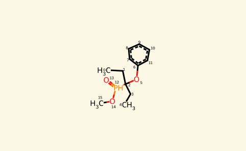 CCC(CC)(Oc1ccccc1)[PH](=O)OC